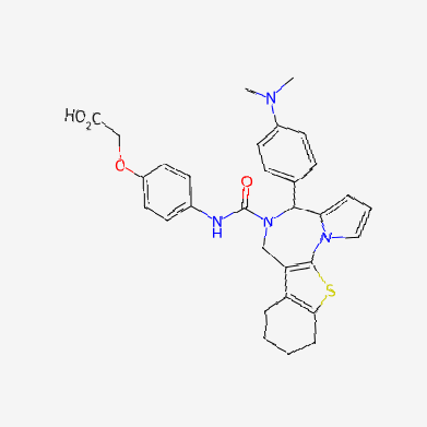 CN(C)c1ccc(C2c3cccn3-c3sc4c(c3CN2C(=O)Nc2ccc(OCC(=O)O)cc2)CCCC4)cc1